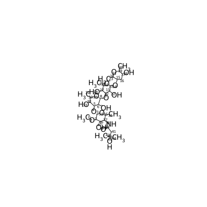 COC1[C@H](O[C@@H]2C(O)[C@H](O[C@@H]3C(O)[C@H](OC4C[C@@H](O)C(C)OC4C)OC(C)[C@@H]3O)OC(C)[C@@H]2O)OC(C)[C@@H](NC(=O)CC(C)(C)O)[C@@H]1O